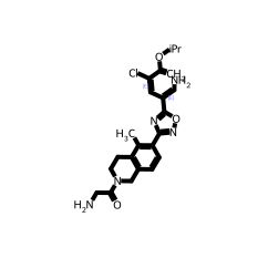 C=C(OC(C)C)/C(Cl)=C\C(=C/N)c1nc(-c2ccc3c(c2C)CCN(C(=O)CN)C3)no1